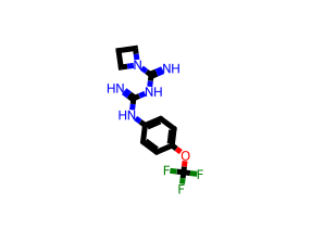 N=C(NC(=N)N1CCC1)Nc1ccc(OC(F)(F)F)cc1